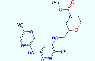 CC(C)(C)OC(=O)N1CCOC(CNc2cc(Nc3cnc(C#N)cn3)nnc2C(F)(F)F)C1